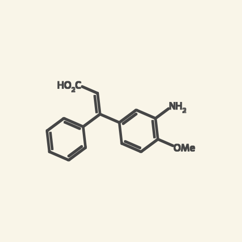 COc1ccc(C(=CC(=O)O)c2ccccc2)cc1N